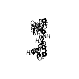 CN[C@@H](C)C(=O)N[C@H](C(=O)N1Cc2cc(NC(=O)CNC(=O)[C@]3(C)CN(C(=O)CN4C[C@@H](C)NCC4CN4CCOC[C@H]4C)c4cc(Cc5ccc(F)cc5)ccc43)ccc2[C@H]1C(=O)Nc1c(F)cccc1F)C1CCOCC1